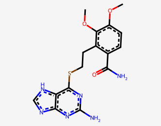 COc1ccc(C(N)=O)c(CCSc2nc(N)nc3nc[nH]c23)c1OC